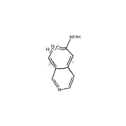 C=C(/C=c1/ccnc/c1=C/C)NC(C)=O